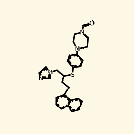 O=CN1CCN(c2ccc(SC(CCc3cccc4ccccc34)Cn3ccnc3)cc2)CC1